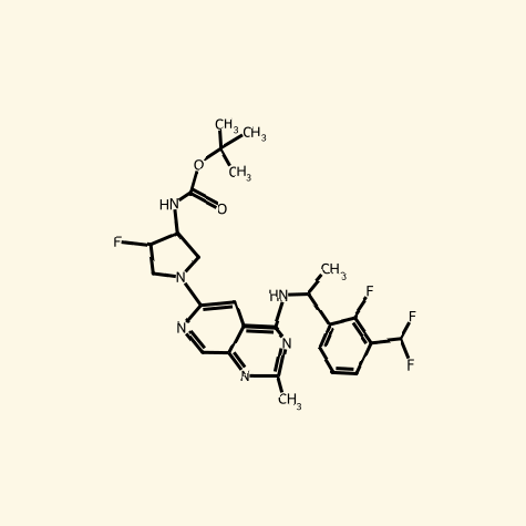 Cc1nc(NC(C)c2cccc(C(F)F)c2F)c2cc(N3CC(F)C(NC(=O)OC(C)(C)C)C3)ncc2n1